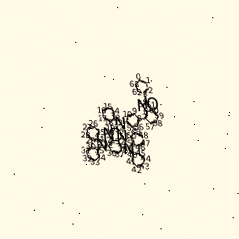 c1ccc(-c2nc3c(-c4ccc(-n5c6ccccc6c6nc7c(-n8c9ccccc9c9ccccc98)ccc(-n8c9ccccc9c9ccccc98)c7nc65)cc4)cccc3o2)cc1